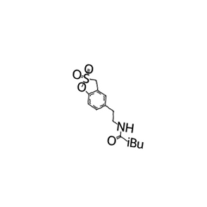 CCC(C)C(=O)NCCc1ccc2c(c1)CS(=O)(=O)O2